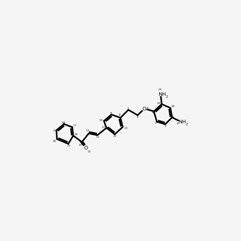 Nc1ccc(OCCc2ccc(C=CC(=O)c3ccccc3)cc2)c(N)c1